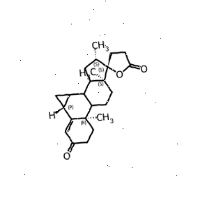 C[C@H]1CC2C3C4C[C@H]4C4=CC(=O)CC[C@]4(C)C3CC[C@]2(C)[C@]12CCC(=O)O2